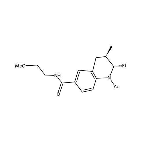 CC[C@H]1[C@H](C)Cc2cc(C(=O)NCCOC)ccc2N1C(C)=O